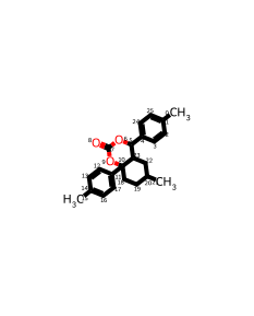 Cc1ccc(C2OC(=O)OC3(c4ccc(C)cc4)CCC(C)CC23)cc1